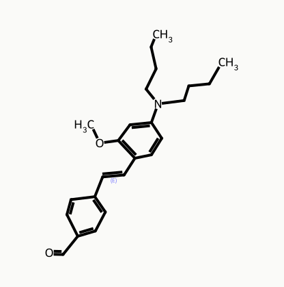 CCCCN(CCCC)c1ccc(/C=C/c2ccc(C=O)cc2)c(OC)c1